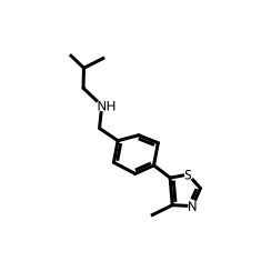 Cc1ncsc1-c1ccc(CNCC(C)C)cc1